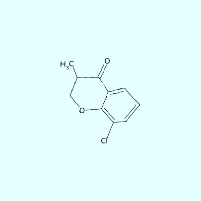 CC1COc2c(Cl)cccc2C1=O